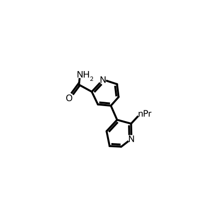 CCCc1ncccc1-c1ccnc(C(N)=O)c1